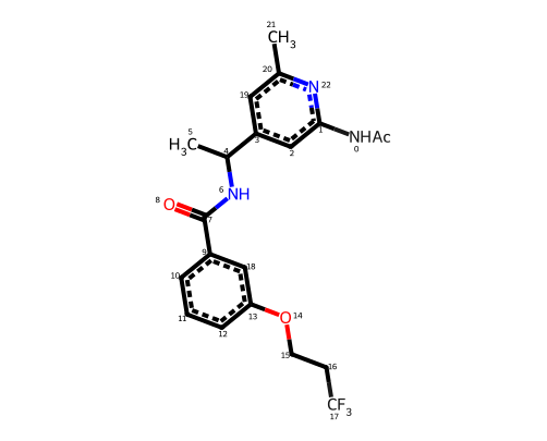 CC(=O)Nc1cc(C(C)NC(=O)c2cccc(OCCC(F)(F)F)c2)cc(C)n1